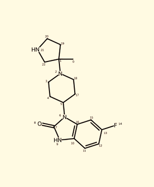 CC1(N2CCC(n3c(=O)[nH]c4ccc(F)cc43)CC2)CCNC1